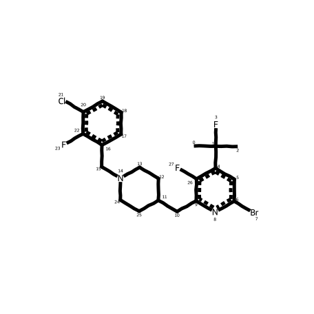 CC(C)(F)c1cc(Br)nc(CC2CCN(Cc3cccc(Cl)c3F)CC2)c1F